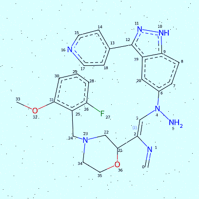 C=N/C(=C\N(N)c1ccc2[nH]nc(-c3ccncc3)c2c1)C1CN(Cc2c(F)cccc2OC)CCO1